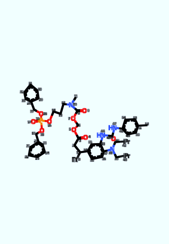 CCC(CC(=O)OCOC(=O)N(C)CCCOP(=O)(OCc1ccccc1)OCc1ccccc1)c1ccc(N(CC(C)C)CC(C)C)c(NC(=O)Nc2ccc(C)cc2)c1